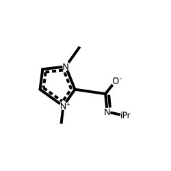 CC(C)/N=C(\[O-])c1n(C)cc[n+]1C